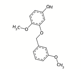 COc1cccc(COc2cc(O)ccc2OC)c1